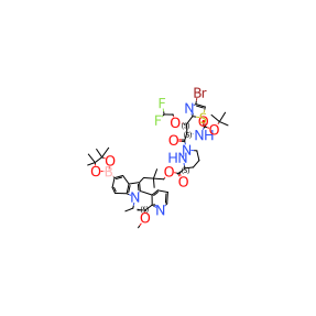 CCn1c(-c2cccnc2[C@H](C)OC)c(CC(C)(C)COC(=O)[C@@H]2CCCN(C(=O)[C@@H](NC(=O)OC(C)(C)C)[C@H](OCC(F)F)c3nc(Br)cs3)N2)c2cc(B3OC(C)(C)C(C)(C)O3)ccc21